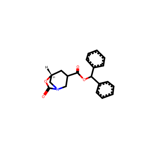 O=C(OC(c1ccccc1)c1ccccc1)C1C[C@@H]2CN(C1)C(=O)O2